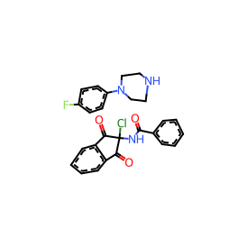 Fc1ccc(N2CCNCC2)cc1.O=C(NC1(Cl)C(=O)c2ccccc2C1=O)c1ccccc1